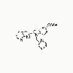 COc1ccc2c(c1)cc(-c1cc3cccnc3[nH]1)n2Cc1ccccn1